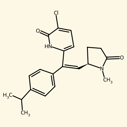 CC(C)c1ccc(C(=C[C@H]2CCC(=O)N2C)c2ccc(Cl)c(=O)[nH]2)cc1